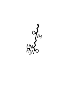 C=CCCC(=O)NCCCCC(NC(C)C)C(N)=O